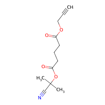 C#CCOC(=O)CCCC(=O)OC(C)(C)C#N